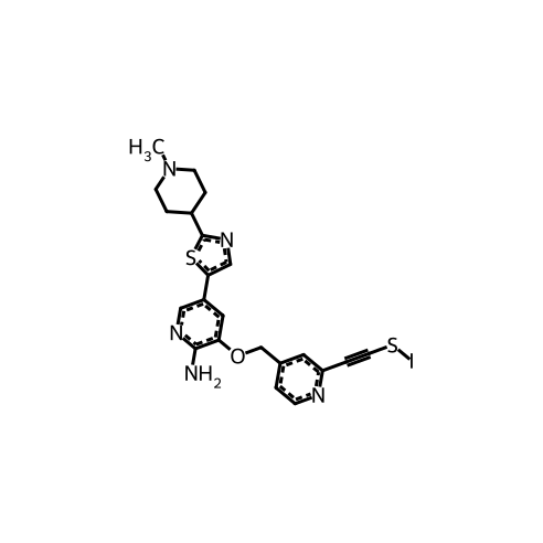 CN1CCC(c2ncc(-c3cnc(N)c(OCc4ccnc(C#CSI)c4)c3)s2)CC1